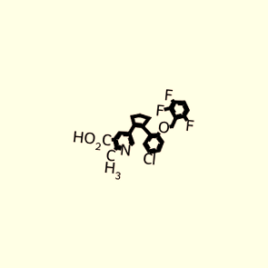 Cc1ncc(C2=C(c3cc(Cl)ccc3OCc3c(F)ccc(F)c3F)CCC2)cc1C(=O)O